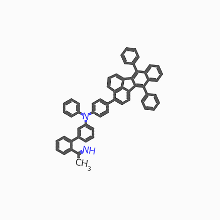 CC(=N)c1ccccc1-c1cccc(N(c2ccccc2)c2ccc(-c3ccc4c5c(cccc35)-c3c-4c(-c4ccccc4)c4ccccc4c3-c3ccccc3)cc2)c1